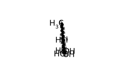 CCCCCCCCCCCCCCPC(O)(O)O.Cl